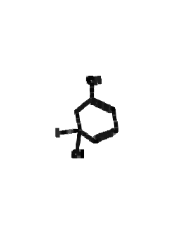 OC1=CC=CC(O)(I)C1